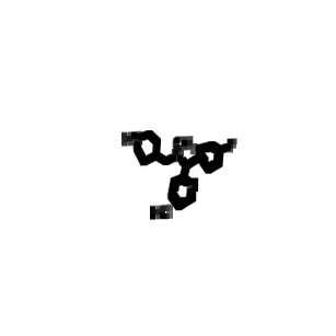 CN(CC1CCNCC1)C(c1ccc(F)cc1)c1ccccn1.Cl